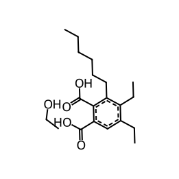 CCCCCCc1c(CC)c(CC)cc(C(=O)O)c1C(=O)O.CCO